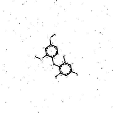 COc1ccc([I+]c2c(C)cc(C)cc2C)c(OC)c1